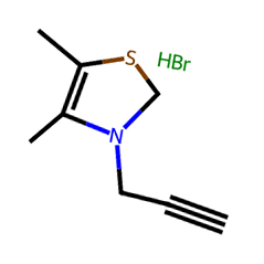 Br.C#CCN1CSC(C)=C1C